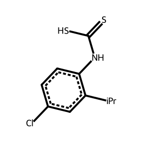 CC(C)c1cc(Cl)ccc1NC(=S)S